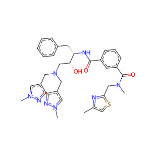 Cc1csc(CN(C)C(=O)c2cccc(C(=O)N[C@@H](Cc3ccccc3)[C@H](O)CN(Cc3cnn(C)c3)Cc3cnn(C)c3)c2)n1